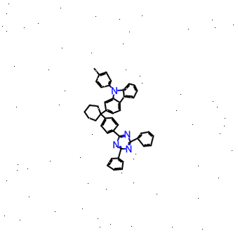 Cc1ccc(-n2c3ccccc3c3ccc(C4(c5ccc(-c6nc(-c7ccccc7)nc(-c7ccccc7)n6)cc5)CCCCC4)cc32)cc1